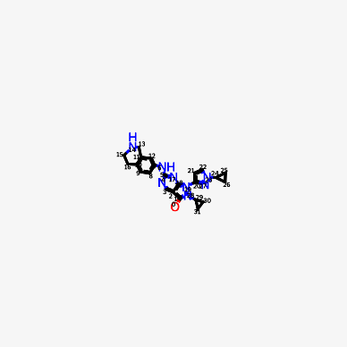 O=c1c2cnc(Nc3ccc4c(c3)CNCC4)nc2n(-c2ccn(C3CC3)n2)n1C1CC1